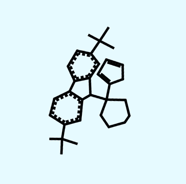 CC(C)(C)c1ccc2c(c1)C(C1(C3=CC=CC3)CCCCC1)c1cc(C(C)(C)C)ccc1-2